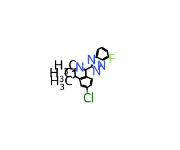 CC1c2cc(Cl)ccc2C(c2nnc3c(F)cccc3n2)=NC1(C)C